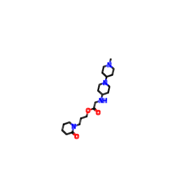 CN1CCC(N2CCC(NCC(=O)OCCCN3CCCCC3=O)CC2)CC1